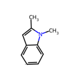 Cc1cc2c[c]ccc2n1C